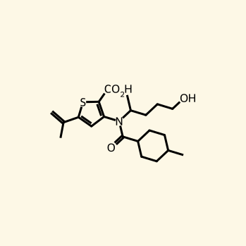 C=C(C)c1cc(N(C(=O)C2CCC(C)CC2)C(C)CCCO)c(C(=O)O)s1